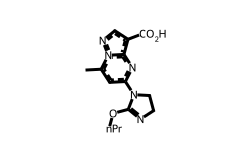 CCCOC1=NCCN1c1cc(C)n2ncc(C(=O)O)c2n1